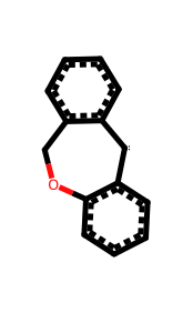 [C]1c2ccccc2COc2ccccc21